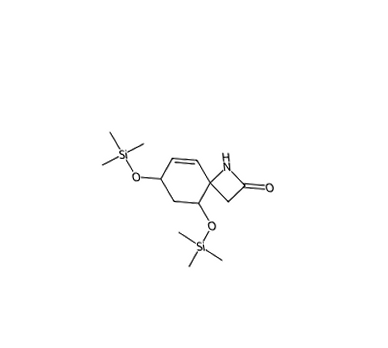 C[Si](C)(C)OC1C=CC2(CC(=O)N2)C(O[Si](C)(C)C)C1